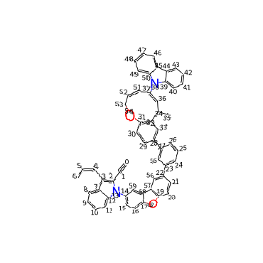 C#Cc1c(/C=C\C)c2ccccc2n1-c1ccc2oc3ccc(-c4cccc(-c5ccc6c(c5)C(C)/C=C(n5c7ccccc7c7ccccc75)\C=C/CO6)c4)cc3c2c1